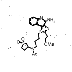 COCCc1nc2c(N)nc3ccccc3c2n1CCCCN(C(C)=O)C1CCS(=O)(=O)C1